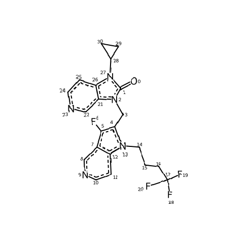 O=c1n(Cc2c(F)c3cnccc3n2CCCC(F)(F)F)c2cnccc2n1C1CC1